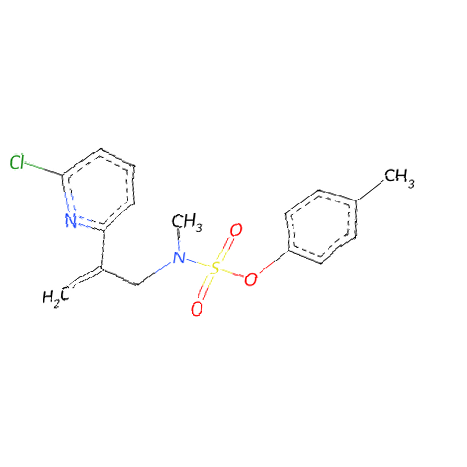 C=C(CN(C)S(=O)(=O)Oc1ccc(C)cc1)c1cccc(Cl)n1